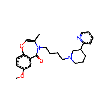 COc1ccc2c(c1)C(=O)N(CCCCN1CCCC(c3ccccn3)C1)C(C)=CO2